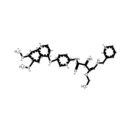 CCO/C(=C/NCc1cccnc1)C(=N)C(=O)Nc1ccc(Oc2ccnc3cc(OC)c(OC)cc23)cn1